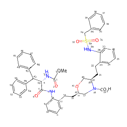 COC(=O)N[C@H](C(=O)Nc1ccccc1CC[C@@H]1CN(C(=O)O)[C@H](CCc2ccccc2NS(=O)(=O)Cc2ccccc2)CO1)C(c1ccccc1)c1ccccc1